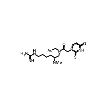 CN[C@@H](CCCCNC(=N)N)CN(CC(C)=O)C(=O)Cn1ccc(=O)[nH]c1=S